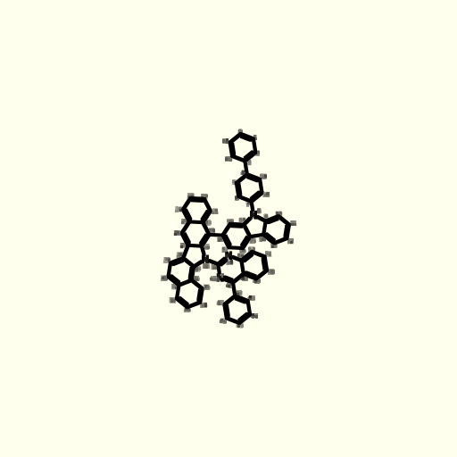 c1ccc(-c2ccc(-n3c4ccccc4c4ccc(-c5c6ccccc6cc6c7ccc8ccccc8c7n(-c7nc(-c8ccccc8)c8ccccc8n7)c56)cc43)cc2)cc1